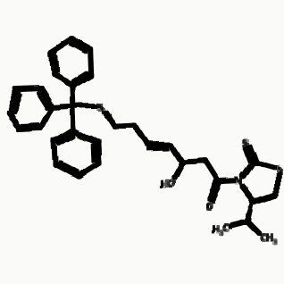 CC(C)[C@@H]1CSC(=S)N1C(=O)CC(O)C=CCCSC(c1ccccc1)(c1ccccc1)c1ccccc1